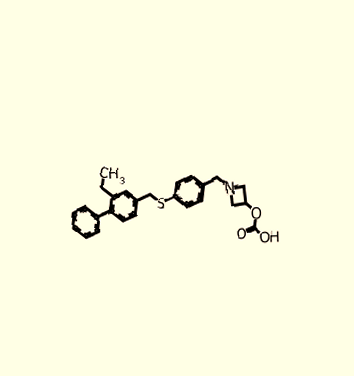 CCc1cc(CSc2ccc(CN3CC(OC(=O)O)C3)cc2)ccc1-c1ccccc1